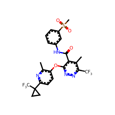 Cc1nc(C2(C(F)(F)F)CC2)ccc1Oc1nnc(C(F)(F)F)c(C)c1C(=O)Nc1cccc(S(C)(=O)=O)c1